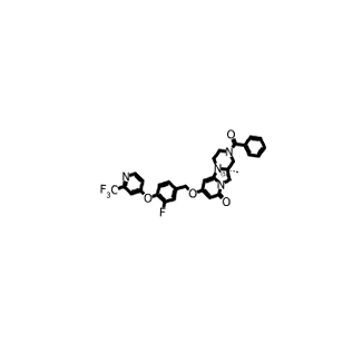 C[C@@]12CN(C(=O)c3ccccc3)CCN1c1cc(OCc3ccc(Oc4ccnc(C(F)(F)F)c4)c(F)c3)cc(=O)n1C2